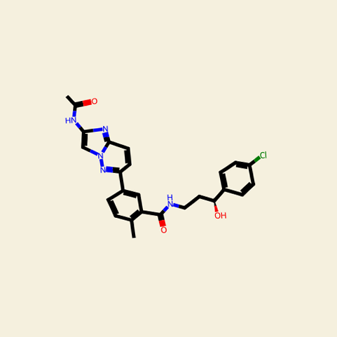 CC(=O)Nc1cn2nc(-c3ccc(C)c(C(=O)NCC[C@H](O)c4ccc(Cl)cc4)c3)ccc2n1